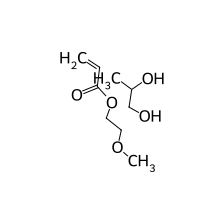 C=CC(=O)OCCOC.CC(O)CO